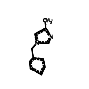 [CH2]c1cn(Cc2ccccc2)cn1